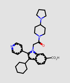 O=C(O)c1ccc2c(C3CCCCC3)c(-c3ccncc3)n(CC(=O)N3CCC(N4CCCC4)CC3)c2c1